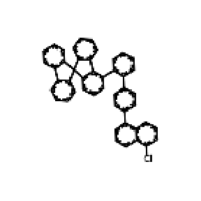 Clc1cccc2c(-c3ccc(-c4ccccc4-c4cccc5c4-c4ccccc4C54c5ccccc5-c5ccccc54)cc3)cccc12